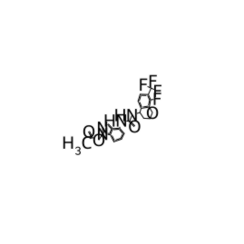 CC(=O)On1ncc2c(NC(=O)NC3CCOc4c3ccc(C(F)(F)F)c4F)cccc21